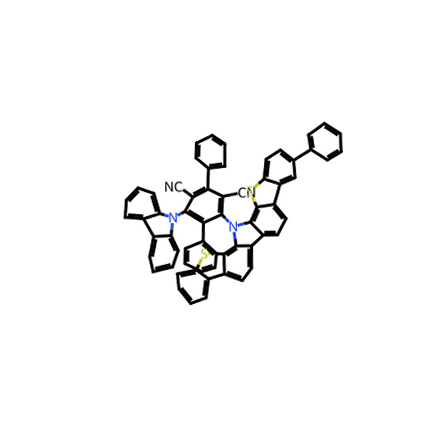 N#Cc1c(-c2ccccc2)c(C#N)c(-n2c3c(ccc4c5ccccc5sc43)c3ccc4c5cc(-c6ccccc6)ccc5sc4c32)c(-c2ccccc2)c1-n1c2ccccc2c2ccccc21